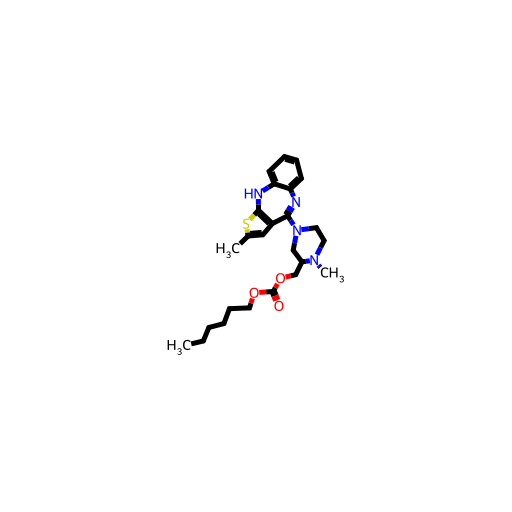 CCCCCCOC(=O)OCC1CN(C2=Nc3ccccc3Nc3sc(C)cc32)CCN1C